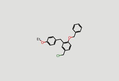 CCOc1ccc(Cc2cc(CCl)ccc2OCc2ccccc2)cc1